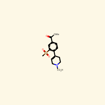 COC(=O)c1ccc(C2=CCN(C(=O)O)CC2)c(S(C)(=O)=O)c1